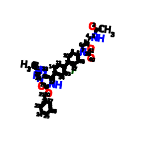 CC(=O)NC[C@H]1CN(c2ccc(-c3ccc([C@@H](NC(=O)OCc4ccccc4)c4nnn(C)n4)cc3)c(F)c2)C(=O)O1